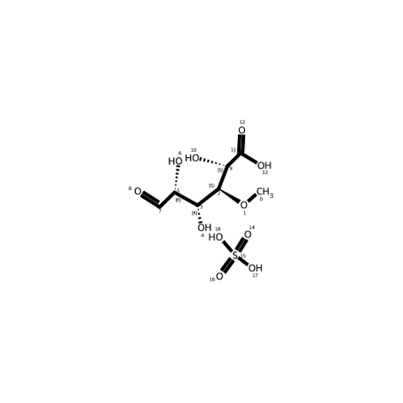 CO[C@@H]([C@H](O)[C@@H](O)C=O)[C@H](O)C(=O)O.O=S(=O)(O)O